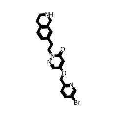 O=c1cc(OCc2ccc(Br)cn2)cnn1CCc1ccc2c(c1)CNCC2